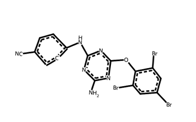 N#Cc1ccc(Nc2nc(N)nc(Oc3c(Br)cc(Br)cc3Br)n2)cc1